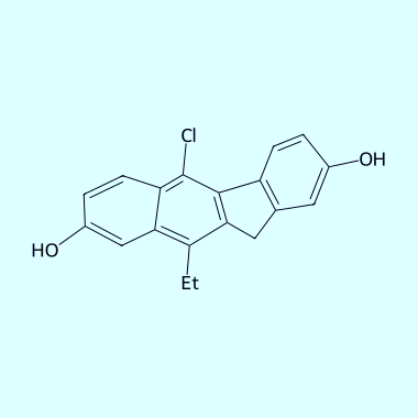 CCc1c2c(c(Cl)c3ccc(O)cc13)-c1ccc(O)cc1C2